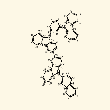 c1cc(-n2c3ccccc3c3ccccc32)cc(-n2c3ccccc3c3cc(-c4ccc5c(c4)c4ccccc4n5-c4ccc5ccccc5c4)ccc32)c1